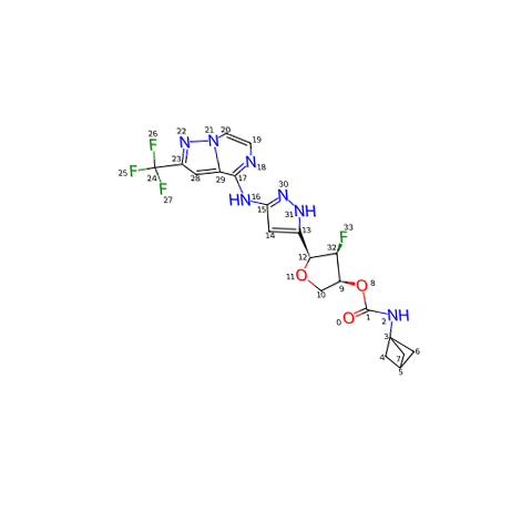 O=C(NC12CC(C1)C2)O[C@H]1CO[C@@H](c2cc(Nc3nccn4nc(C(F)(F)F)cc34)n[nH]2)[C@H]1F